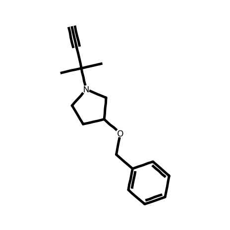 C#CC(C)(C)N1CCC(OCc2ccccc2)C1